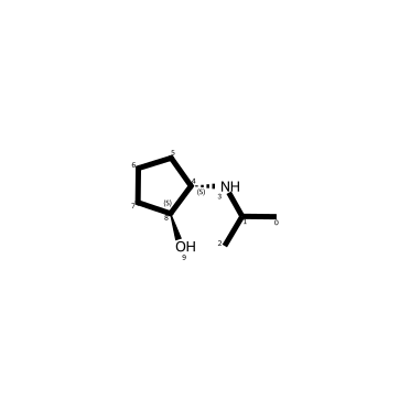 CC(C)N[C@H]1CCC[C@@H]1O